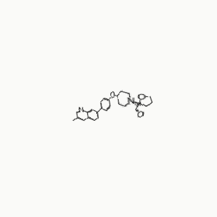 Cc1cnc2cc(-c3ccc(OC4CCN([C@]5(C=O)CCCO5)CC4)cc3)ccc2c1